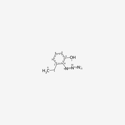 CCc1cccc(O)c1N=[N+]=[N-]